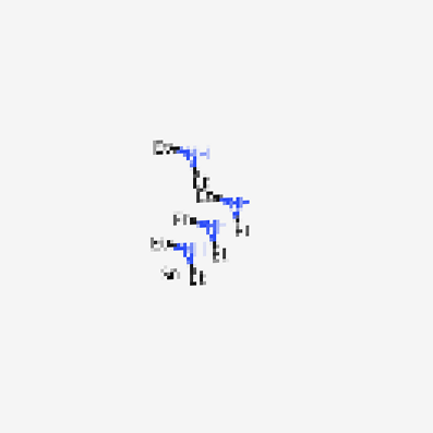 CCNCC.CCNCC.CCNCC.CCNCC.[Sn]